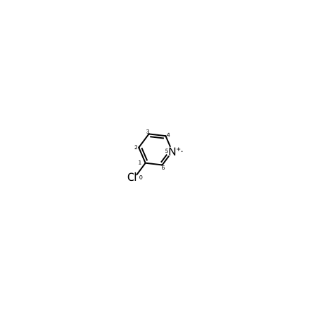 ClC1=CC=C[N+]=C1